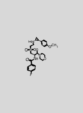 COc1ccc([C@@H]2C[C@H]2NCCS(=O)(=O)C[C@H](NC(=O)c2ccc(F)cc2)C(=O)N2CCOCC2)cc1